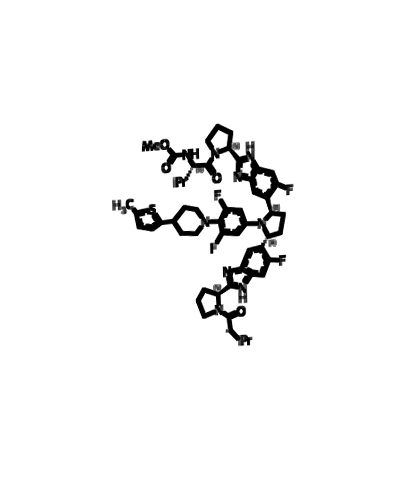 COC(=O)N[C@H](C(=O)N1CCC[C@H]1c1nc2cc([C@H]3CC[C@H](c4cc5nc([C@@H]6CCCN6C(=O)[CH]C(C)C)[nH]c5cc4F)N3c3cc(F)c(N4CCC(c5ccc(C)s5)CC4)c(F)c3)c(F)cc2[nH]1)C(C)C